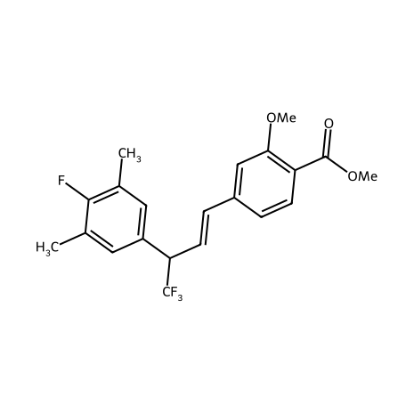 COC(=O)c1ccc(/C=C/C(c2cc(C)c(F)c(C)c2)C(F)(F)F)cc1OC